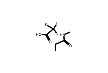 CCC(=O)NC.O=C(O)C(F)(F)F